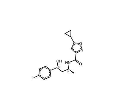 C[C@@H](C[C@H](O)c1ccc(F)cc1)NC(=O)c1cc(C2CC2)on1